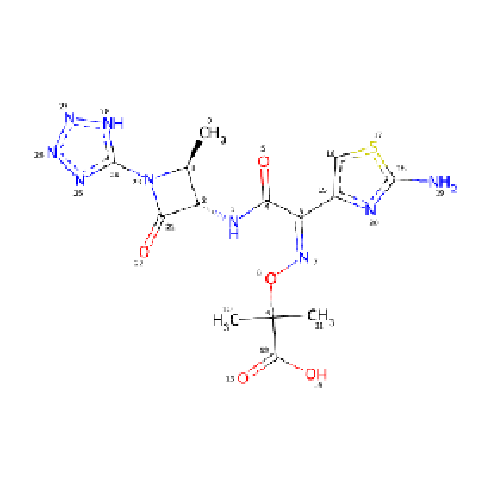 C[C@H]1[C@H](NC(=O)C(=NOC(C)(C)C(=O)O)c2csc(N)n2)C(=O)N1c1nnn[nH]1